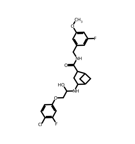 COc1cc(F)cc(CNC(=O)C2CC(NC(O)COc3ccc(Cl)c(F)c3)C3CC2C3)c1